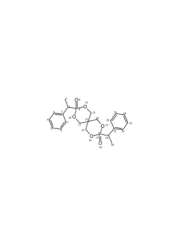 CC(c1ccccc1)P1(=O)OCC2(CO1)COP(=O)(C(C)c1ccccc1)OC2